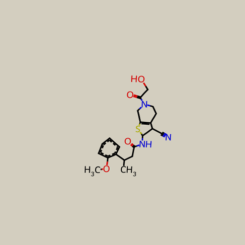 COc1ccccc1C(C)CC(=O)NC1SC2=C(CCN(C(=O)CO)C2)C1C#N